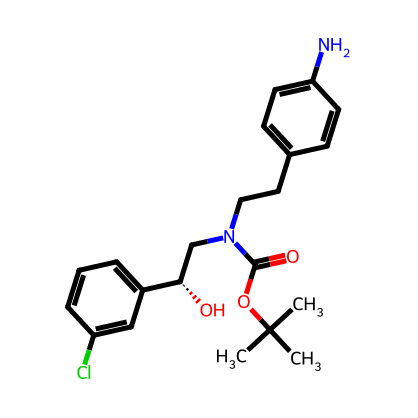 CC(C)(C)OC(=O)N(CCc1ccc(N)cc1)C[C@H](O)c1cccc(Cl)c1